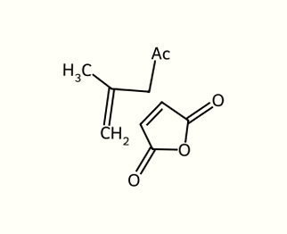 C=C(C)CC(C)=O.O=C1C=CC(=O)O1